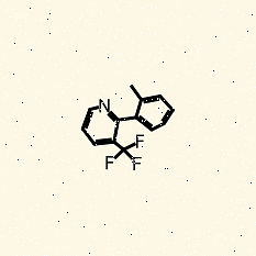 Cc1ccccc1-c1ncccc1C(F)(F)F